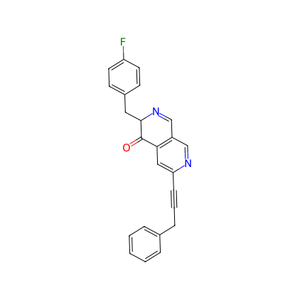 O=C1c2cc(C#CCc3ccccc3)ncc2C=NC1Cc1ccc(F)cc1